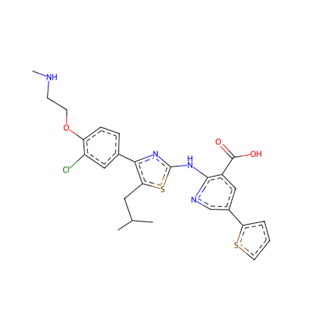 CNCCOc1ccc(-c2nc(Nc3ncc(-c4cccs4)cc3C(=O)O)sc2CC(C)C)cc1Cl